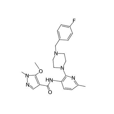 COc1c(C(=O)Nc2ccc(C)nc2N2CCN(Cc3ccc(F)cc3)CC2)cnn1C